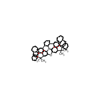 CC1(C)c2cc3c(cc2-c2c1ccc1ccccc21)N(c1c(-c2ccc(-c4ccccc4)cc2)cccc1-c1ccc(-c2ccccc2)cc1)c1cc2c(cc1O3)C(C)(C)c1ccc3ccccc3c1-2